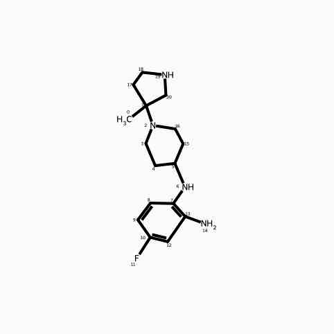 CC1(N2CCC(Nc3ccc(F)cc3N)CC2)CCNC1